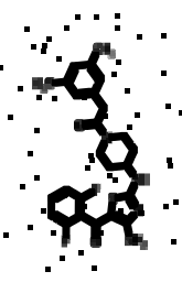 Cc1cc(C)cc(CC(=O)N2CCC(Nc3nc(N)c(C(=O)c4c(F)cccc4F)s3)CC2)c1